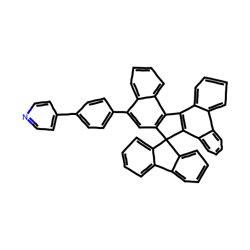 c1ccc2c(c1)-c1ccccc1C21c2cc(-c3ccc(-c4ccncc4)cc3)c3ccccc3c2-c2c1c1ccccc1c1ccccc21